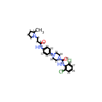 CC1CCCN1CCC(=O)Nc1ccc(N2CCN(C(=O)Nc3c(Cl)cccc3Cl)CC2)cc1